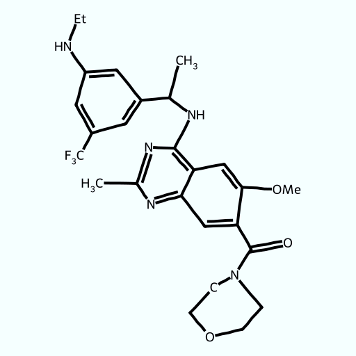 CCNc1cc(C(C)Nc2nc(C)nc3cc(C(=O)N4CCOCC4)c(OC)cc23)cc(C(F)(F)F)c1